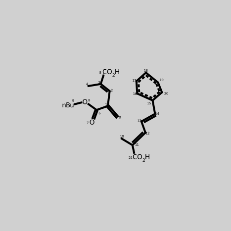 C=C(C=C(C)C(=O)O)C(=O)OCCCC.CC(=CC=Cc1ccccc1)C(=O)O